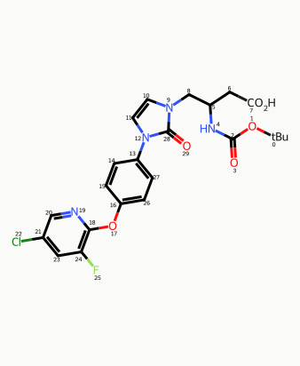 CC(C)(C)OC(=O)NC(CC(=O)O)Cn1ccn(-c2ccc(Oc3ncc(Cl)cc3F)cc2)c1=O